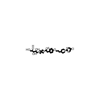 O=C(Cc1ccc(OCCCC2CCN(c3ncc(Cl)cn3)CC2)cc1F)N1CC2(CN(C[C@H](O)[C@H](O)[C@H](O)CO)C2)C1